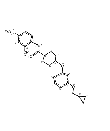 CCOC(=O)c1ccc(NC(=O)C2CCC(Oc3cccc(OCC4CC4)c3)CC2)c(O)c1